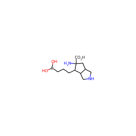 NC1(C(=O)O)CC2CNCC2C1CCCB(O)O